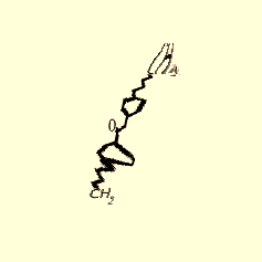 C=CCCCc1ccc(CC(=O)c2ccc(CCCC=C)cc2)cc1